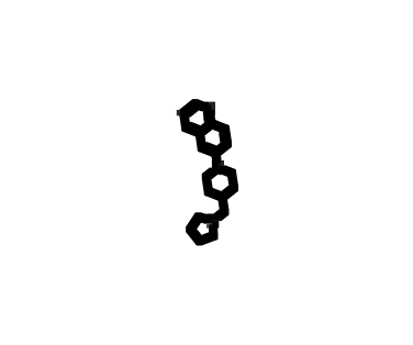 [c]1cnc2ccc(N3CCC(CN4CCCC4)CC3)cc2c1